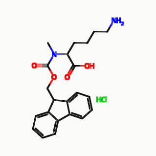 CN(C(=O)OCC1c2ccccc2-c2ccccc21)C(CCCCN)C(=O)O.Cl